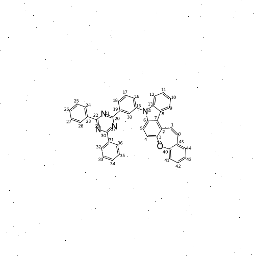 C1=Cc2c(ccc3c2c2ccccc2n3-c2cccc(-c3nc(-c4ccccc4)nc(-c4ccccc4)n3)c2)Oc2ccccc21